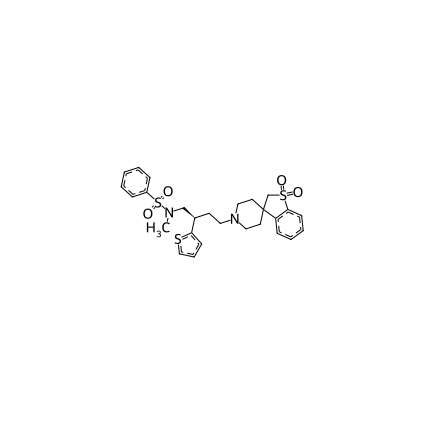 CN(C[C@@H](CCN1CCC2(CC1)CS(=O)(=O)c1ccccc12)c1cccs1)S(=O)(=O)c1ccccc1